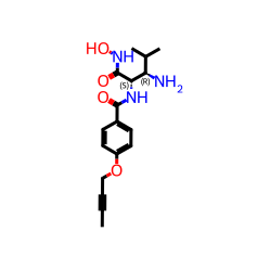 CC#CCOc1ccc(C(=O)N[C@H](C(=O)NO)[C@H](N)C(C)C)cc1